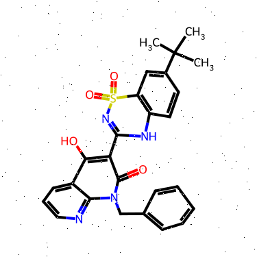 CC(C)(C)c1ccc2c(c1)S(=O)(=O)N=C(c1c(O)c3cccnc3n(Cc3ccccc3)c1=O)N2